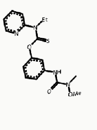 CCN(C(=S)Oc1cccc(NC(=O)N(C)OC)c1)c1ccccn1